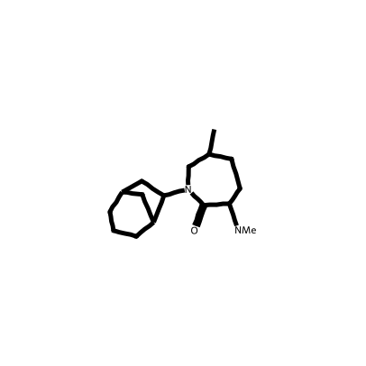 CNC1CCC(C)CN(C2CC3CCCC2C3)C1=O